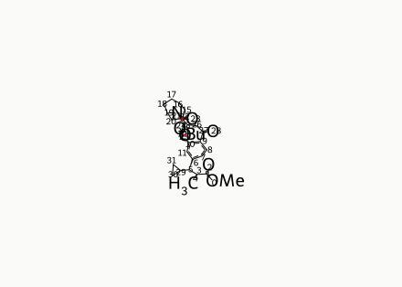 COC(=O)[C@@H](C)[C@H](c1ccc2c(c1)OC(C1CC3CCC(C1)N3C(=O)OC(C)(C)C)CC2=O)C1CC1